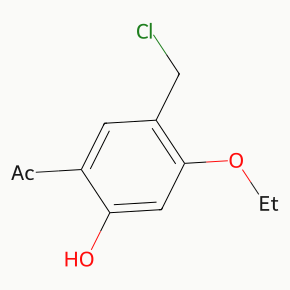 CCOc1cc(O)c(C(C)=O)cc1CCl